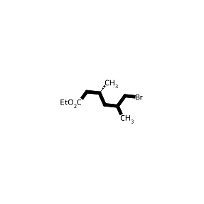 CCOC(=O)C[C@H](C)CC(C)CBr